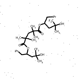 CC(C)CC(CC(C)(O)C(F)(F)F)OC(=O)C(C)(C)CC(C)(C)C(=O)OC(CC(C)C)CC(C)(O)C(F)(F)F